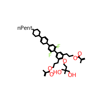 C=C(C)C(=O)OCCCc1cc(-c2c(F)cc(C3C=CC(C4CCC(CCCCC)CC4)=CC3)cc2F)cc(CCCOC(=O)C(=C)C)c1OCCC(C)(CO)CO